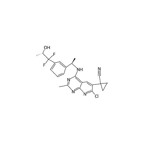 Cc1nc(N[C@H](C)c2cccc(C(F)(F)[C@H](C)O)c2)c2cc(C3(C#N)CC3)c(Cl)nc2n1